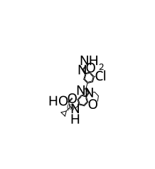 Nc1nc2cc(-c3nc4cc(N[C@H](C(=O)O)C5CC5)cc5c4n3CCCO5)cc(Cl)c2o1